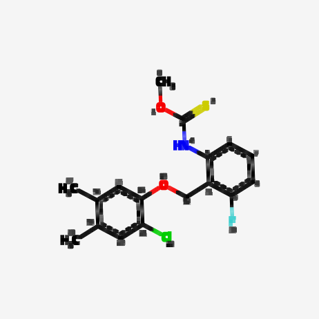 COC(=S)Nc1cccc(F)c1COc1cc(C)c(C)cc1Cl